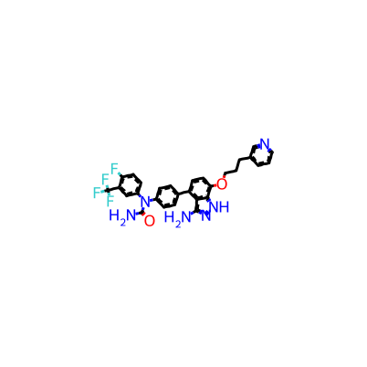 NC(=O)N(c1ccc(-c2ccc(OCCCc3cccnc3)c3[nH]nc(N)c23)cc1)c1ccc(F)c(C(F)(F)F)c1